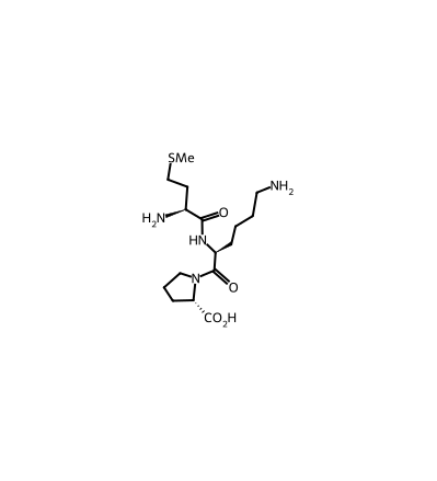 CSCC[C@H](N)C(=O)N[C@@H](CCCCN)C(=O)N1CCC[C@H]1C(=O)O